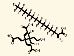 C=C(C(=O)O)C(F)(F)C(F)(F)C(F)(F)C(F)(F)C(F)(F)C(F)(F)C(F)(F)C(F)(F)C(F)(F)C(F)(F)C(F)(F)F.O=C(O)C=CC(C=CC(=O)O)(C=CC(=O)O)C(CO)(CO)CCO